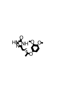 COc1ccc(OC(C)SCc2n[nH]c(=O)[nH]2)cc1OC